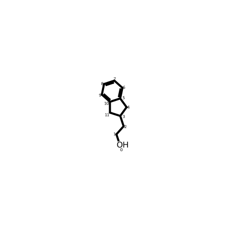 OCCC1Cc2ccccc2C1